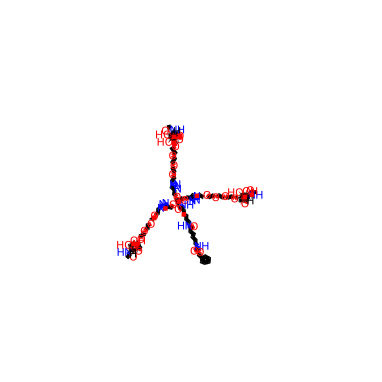 CC(=O)N[C@H]1[C@@H]2OC[C@](COCCOCCOCCOCCn3cc(COCC(COCc4cn(CCOCCOCCOCCOC[C@@]56CO[C@H](O5)[C@H](NC(C)=O)[C@@H](O)[C@H]6O)nn4)(COCc4cn(CCOCCOCCOCCOC[C@@]56OO[C@@H](O5)[C@H](NC(C)=O)[C@@H](O)[C@H]6O)nn4)NC(=O)CCCCCNC(=O)CCCCCNC(=O)OCc4ccccc4)nn3)(O2)[C@H](O)[C@@H]1O